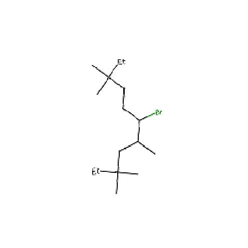 CCC(C)(C)CCC(Br)C(C)CC(C)(C)CC